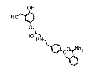 NC(=O)c1ccccc1COc1ccc(CCNCC(O)COc2ccc(O)c(CO)c2)cc1